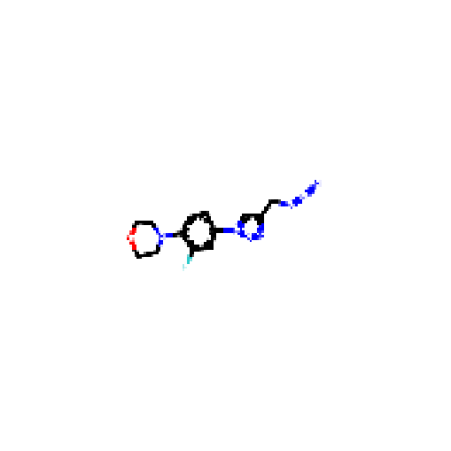 [N-]=[N+]=NCc1cn(-c2ccc(N3CCOCC3)c(F)c2)nn1